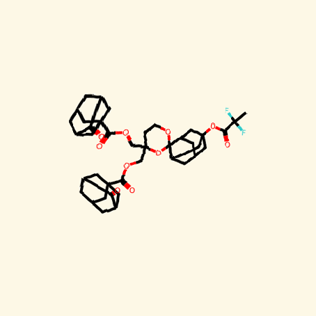 CC(F)(F)C(=O)OC12CC3CC(C1)C1(OCCC(COC(=O)C45CC6CC(C4)C(=O)C(C6)C5)(COC(=O)C45CC6CC(C4)C(=O)C(C6)C5)O1)C(C3)C2